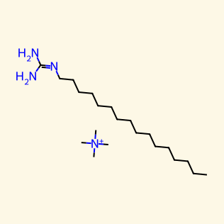 CCCCCCCCCCCCCCCCN=C(N)N.C[N+](C)(C)C